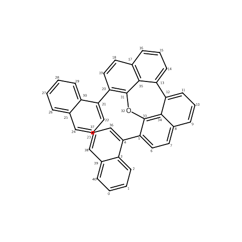 c1ccc2c(-c3ccc4cccc5c6cccc7ccc(-c8cccc9ccccc89)c(oc3c45)c76)cccc2c1